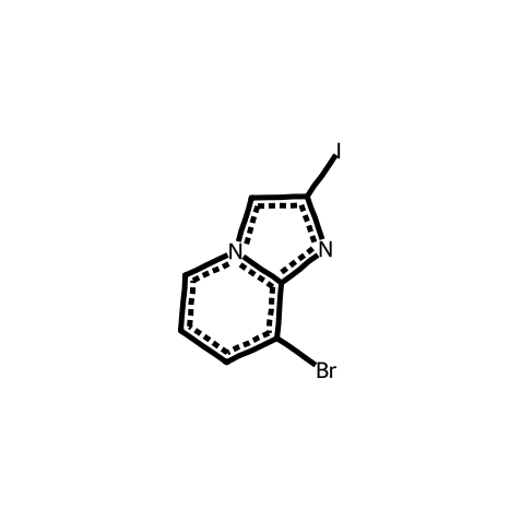 Brc1cccn2cc(I)nc12